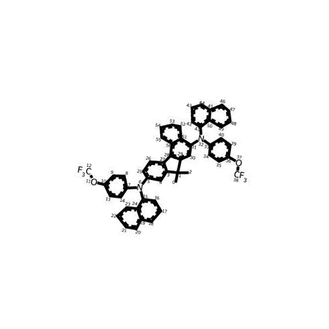 CC1(C)c2cc(N(c3ccc(OC(F)(F)F)cc3)c3cccc4ccccc34)ccc2-c2c1cc(N(c1ccc(OC(F)(F)F)cc1)c1cccc3ccccc13)c1ccccc21